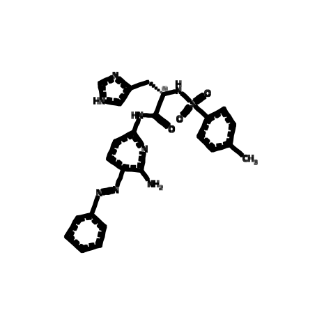 Cc1ccc(S(=O)(=O)N[C@@H](Cc2c[nH]cn2)C(=O)Nc2ccc(N=Nc3ccccc3)c(N)n2)cc1